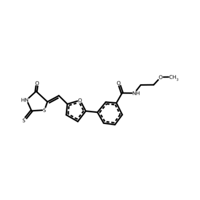 COCCNC(=O)c1cccc(-c2ccc(/C=C3\SC(=S)NC3=O)o2)c1